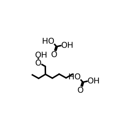 CCCCC(CC)COO.O=C(O)O.O=C(O)O